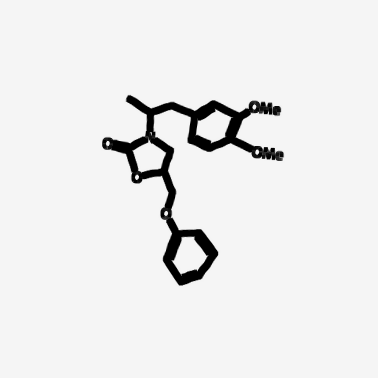 COc1ccc(CC(C)N2CC(COc3ccccc3)OC2=O)cc1OC